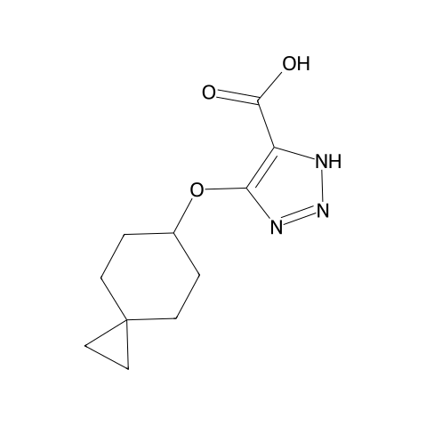 O=C(O)c1[nH]nnc1OC1CCC2(CC1)CC2